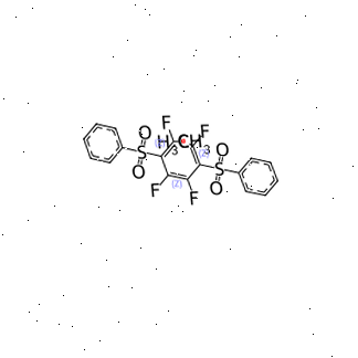 C\C(F)=C(/C(F)=C(F)\C(=C(/C)F)S(=O)(=O)c1ccccc1)S(=O)(=O)c1ccccc1